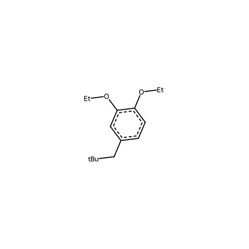 CCOc1ccc(CC(C)(C)C)cc1OCC